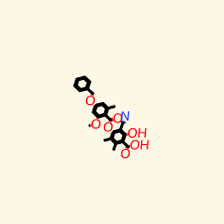 COc1cc(OCc2ccccc2)cc(C)c1C(=O)Oc1c(C)c(C)c(C(=O)O)c(O)c1C#N